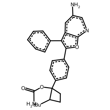 CC(C)(C)C1CCC1(OC(N)=O)c1ccc(-c2oc3ncc(N)cc3c2-c2ccccc2)cc1